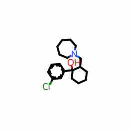 OC1(c2cccc(Cl)c2)CCCCC1CN1CCCCCC1